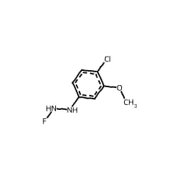 COc1cc(NNF)ccc1Cl